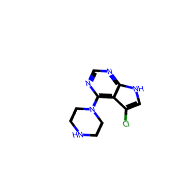 Clc1c[nH]c2ncnc(N3CCNCC3)c12